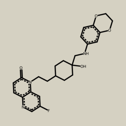 O=c1ccc2ncc(F)cc2n1CCC1CCC(O)(CNc2ccc3c(c2)OCCO3)CC1